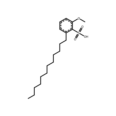 CCCCCCCCCCCCc1cccc(OC)c1S(=O)(=O)O